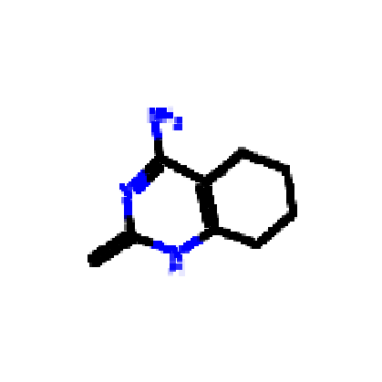 C=C1N=C(N)C2=C(CCCC2)N1